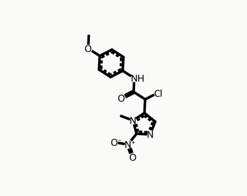 COc1ccc(NC(=O)C(Cl)c2cnc([N+](=O)[O-])n2C)cc1